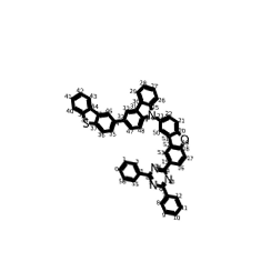 c1ccc(-c2nc(-c3ccccc3)nc(-c3ccc4oc5ccc(-n6c7ccccc7c7cc(-c8ccc9sc%10ccccc%10c9c8)ccc76)cc5c4c3)n2)cc1